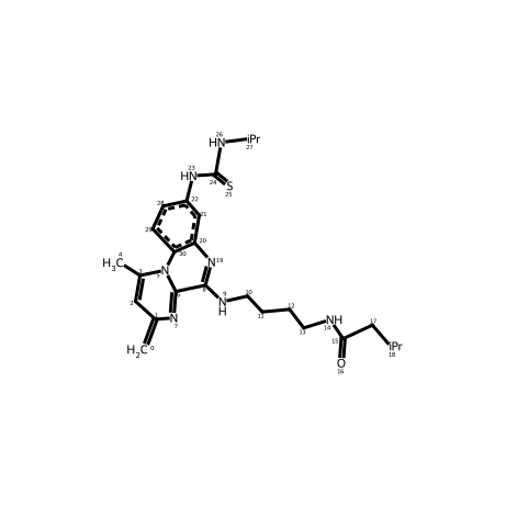 C=C1C=C(C)N2C(=N1)C(NCCCCNC(=O)CC(C)C)=Nc1cc(NC(=S)NC(C)C)ccc12